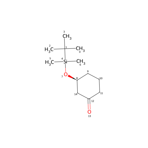 CC(C)(C)[Si](C)(C)O[C@H]1C[CH]CC(=O)C1